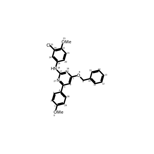 COc1ccc(-c2cc(OCc3ccccc3)nc(Nc3ccc(OC)c(Cl)c3)n2)cc1